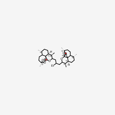 CCC(CC1O[C@@H]2O[C@]3(C)CCC4[C@H](C)CC[C@@H]([C@H]1C)C42OO3)CC1O[C@@H]2O[C@]3(C)CCC4[C@H](C)CC[C@@H]([C@H]1C)C42OO3